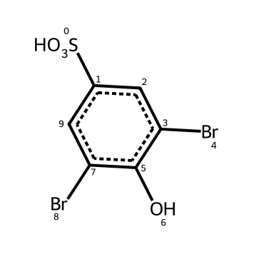 O=S(=O)(O)c1cc(Br)c(O)c(Br)c1